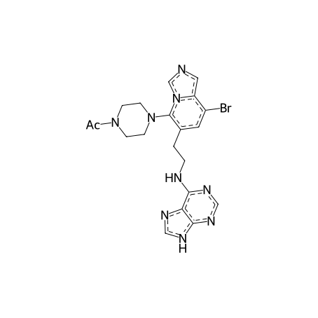 CC(=O)N1CCN(c2c(CCNc3ncnc4[nH]cnc34)cc(Br)c3cncn23)CC1